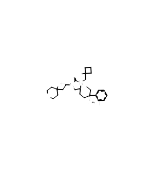 CN(C)[C@]1(c2ccccc2)CC[C@]2(CC1)CN(CCC1(O)CCOCC1)C(=O)N2CC1(O)CCC1